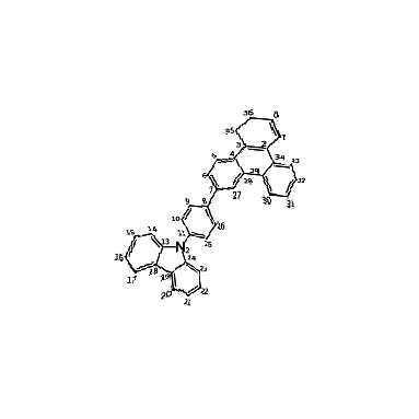 C1=Cc2c(c3ccc(-c4ccc(-n5c6ccccc6c6ccccc65)cc4)cc3c3ccccc23)CC1